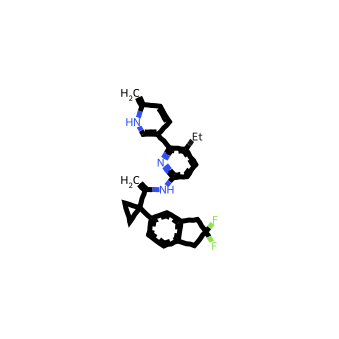 C=C1C=CC(c2nc(NC(=C)C3(c4ccc5c(c4)CC(F)(F)C5)CC3)ccc2CC)=CN1